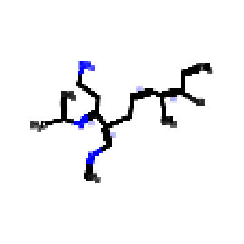 C=C/C(CC)=C(C)\C=C/CC(=C/N=C)/C(CCN)=N/C(=C)C